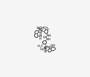 Cc1ccc(NC(=O)Nc2ccc(C)c(C(=O)Nc3c(S(=O)(=O)O)ccc4cccc(O)c34)c2)cc1C(=O)Nc1c(S(=O)(=O)O)ccc2cccc(O)c12